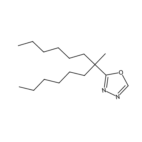 CCCCCCC(C)(CCCCCC)c1nnco1